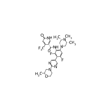 CC1CN(c2ncc(-c3c(F)cc(N4C[C@@H](C)N(C)[C@@H](C)C4)c(NC(=O)c4c[nH]c(=O)cc4C(F)(F)F)c3F)cn2)CCO1